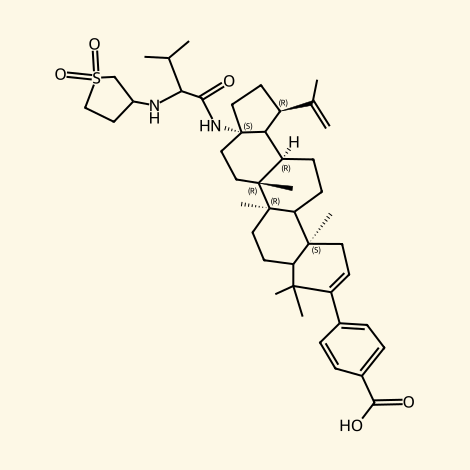 C=C(C)[C@@H]1CC[C@]2(NC(=O)C(NC3CCS(=O)(=O)C3)C(C)C)CC[C@]3(C)[C@H](CCC4[C@@]5(C)CC=C(c6ccc(C(=O)O)cc6)C(C)(C)C5CC[C@]43C)C12